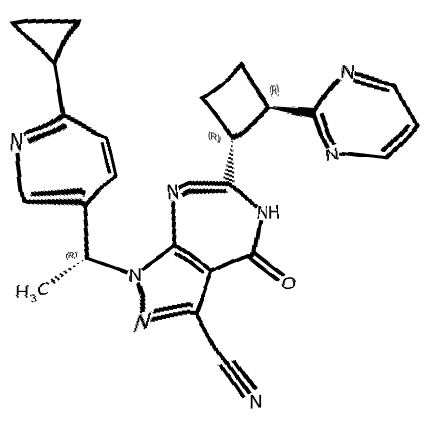 C[C@H](c1ccc(C2CC2)nc1)n1nc(C#N)c2c(=O)[nH]c([C@@H]3CC[C@H]3c3ncccn3)nc21